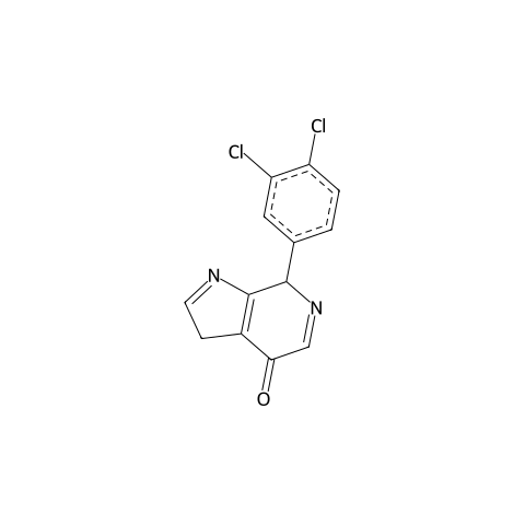 O=C1C=NC(c2ccc(Cl)c(Cl)c2)C2=C1CC=N2